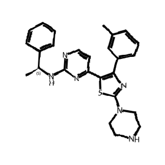 Cc1cccc(-c2nc(N3CCNCC3)sc2-c2ccnc(N[C@@H](C)c3ccccc3)n2)c1